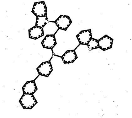 c1cc(-c2ccccc2-n2c3ccccc3c3ccccc32)cc(N(c2ccc(-c3ccc4ccccc4c3)cc2)c2cccc(-c3cccc4c3oc3ccccc34)c2)c1